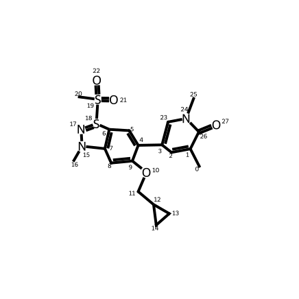 Cc1cc(-c2cc3c(cc2OCC2CC2)N(C)N=S3S(C)(=O)=O)cn(C)c1=O